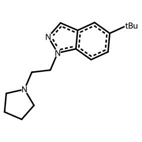 CC(C)(C)c1ccc2c(cnn2CCN2CCCC2)c1